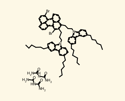 CCCCCCc1ccc2c(c1)c1cc(CCCCCC)ccc1n2CCCc1c(CCCn2c3ccc(CCCCCC)cc3c3cc(CCCCCC)ccc32)c2cccc3c4c(Br)ccc5cccc(c(c1Br)c23)c54.NC(=O)NC(N)=O.NC(=O)NC(N)=O